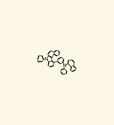 c1ccc(N(c2cccc(-c3cccc4c3c3c5ccccc5ccc3n4-c3ccccc3)c2)c2cccc3ccccc23)cc1